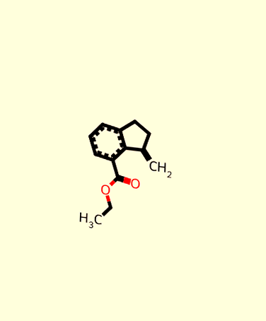 C=C1CCc2cccc(C(=O)OCC)c21